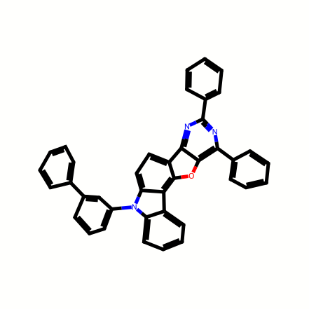 c1ccc(-c2cccc(-n3c4ccccc4c4c5oc6c(-c7ccccc7)nc(-c7ccccc7)nc6c5ccc43)c2)cc1